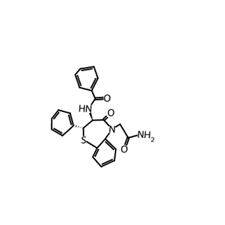 NC(=O)CN1C(=O)[C@H](NC(=O)c2ccccc2)[C@@H](c2ccccc2)Sc2ccccc21